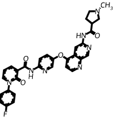 CN1CCC(C(=O)Nc2cc3c(Oc4ccc(NC(=O)c5cccn(-c6ccc(F)cc6)c5=O)nc4)ccnc3cn2)C1